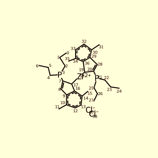 CCCP(CCC)C1=Cc2c(C)ccc(C)c2[CH]1[Zr+2][CH]1C(P(CCC)CCC)=Cc2c(C)ccc(C)c21.[Cl-].[Cl-]